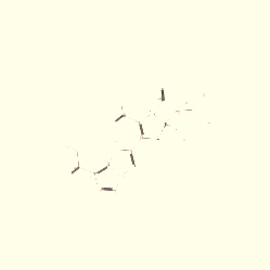 CCC(=O)c1ncn2cc(C3=C(C(=O)O)N4C(=O)[C@H]([C@@H](C)O)[C@H]4C3)sc12